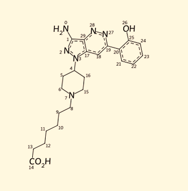 Nc1nn(C2CCN(CCCCCCC(=O)O)CC2)c2cc(-c3ccccc3O)nnc12